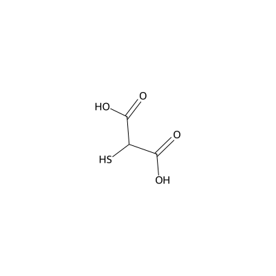 O=C(O)C(S)C(=O)O